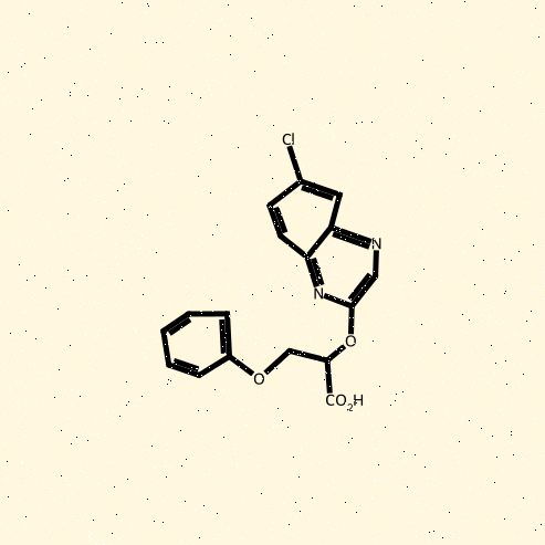 O=C(O)C(COc1ccccc1)Oc1cnc2cc(Cl)ccc2n1